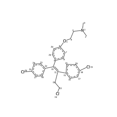 CN(C)CCOc1ccc(C(=C(CCCl)c2ccc(Cl)cc2)c2ccc(Cl)cc2)cc1